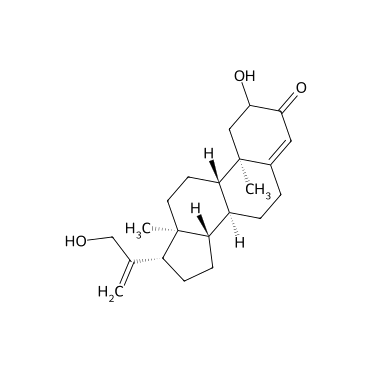 C=C(CO)[C@H]1CC[C@H]2[C@@H]3CCC4=CC(=O)C(O)C[C@]4(C)[C@H]3CC[C@]12C